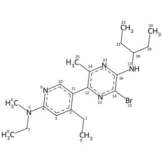 CCc1cc(N(C)CC)ncc1-c1nc(Br)c(NC(CC)CC)nc1C